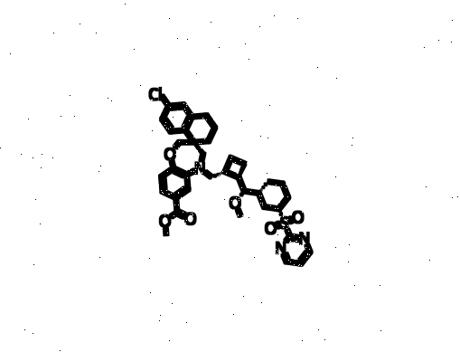 COC(=O)c1ccc2c(c1)N(C[C@@H]1CC[C@H]1[C@@H](OC)[C@@H]1CCC[C@H](S(=O)(=O)c3ncccn3)C1)C[C@@]1(CCCc3cc(Cl)ccc31)CO2